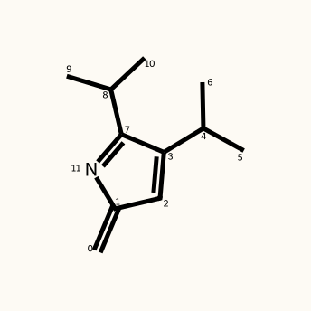 C=C1C=C(C(C)C)C(C(C)C)=N1